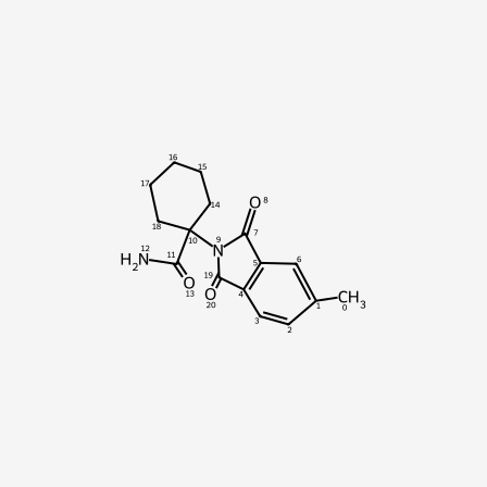 Cc1ccc2c(c1)C(=O)N(C1(C(N)=O)CCCCC1)C2=O